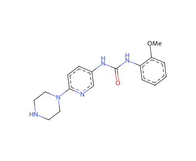 COc1ccccc1NC(=O)Nc1ccc(N2CCNCC2)nc1